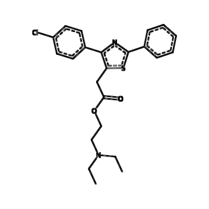 CCN(CC)CCOC(=O)Cc1sc(-c2ccccc2)nc1-c1ccc(Cl)cc1